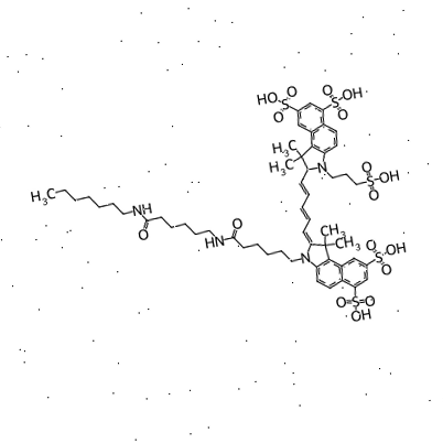 CCCCCCCNC(=O)CCCCCNC(=O)CCCCCN1/C(=C/C=C/C=C/C2N(CCCS(=O)(=O)O)c3ccc4c(S(=O)(=O)O)cc(S(=O)(=O)O)cc4c3C2(C)C)C(C)(C)c2c1ccc1c(S(=O)(=O)O)cc(S(=O)(=O)O)cc21